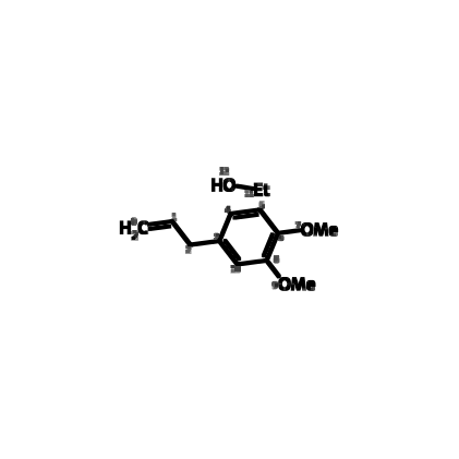 C=CCc1ccc(OC)c(OC)c1.CCO